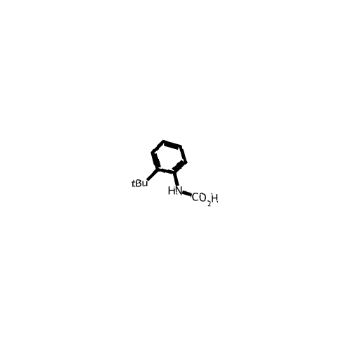 CC(C)(C)c1ccccc1NC(=O)O